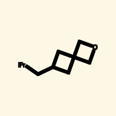 CC(C)CC1CC2(COC2)C1